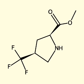 COC(=O)[C@@H]1C[C@H](C(F)(F)F)CN1